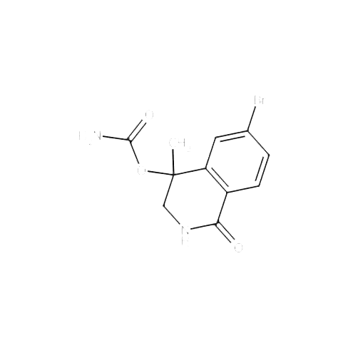 CC1(OC(N)=O)CNC(=O)c2ccc(Br)cc21